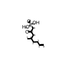 C=CCCC(C)CC(=O)CP(=O)(O)O